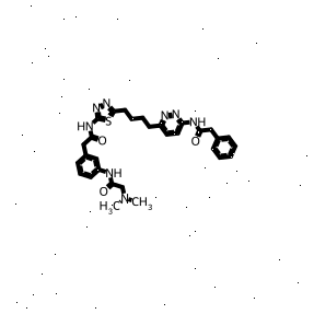 CN(C)CC(=O)Nc1cccc(CC(=O)Nc2nnc(CCCCc3ccc(NC(=O)Cc4ccccc4)nn3)s2)c1